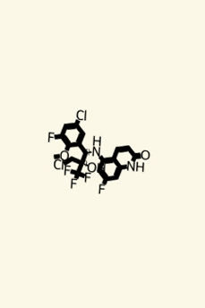 COc1c(F)cc(Cl)cc1[C@H](Nc1cc(F)cc2[nH]c(=O)ccc12)[C@](O)(CCl)C(F)(F)F